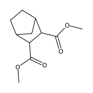 COC(=O)C1C2CCC(C2)C1C(=O)OC